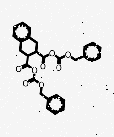 O=C(OCc1ccccc1)OC(=O)C1Cc2ccccc2CC1C(=O)OC(=O)OCc1ccccc1